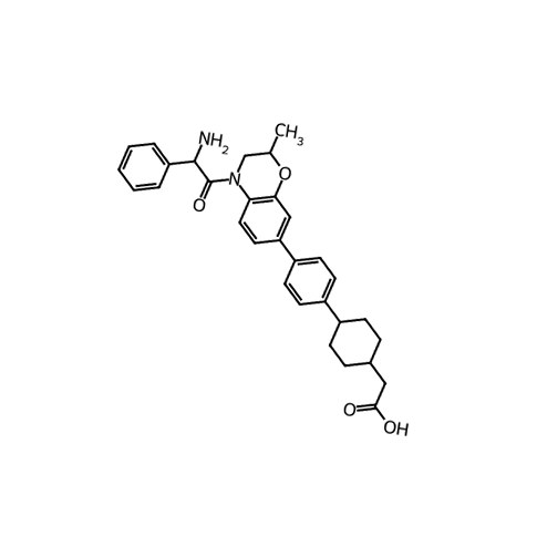 CC1CN(C(=O)C(N)c2ccccc2)c2ccc(-c3ccc(C4CCC(CC(=O)O)CC4)cc3)cc2O1